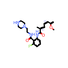 C=C(/C=C\C=C(/C)C(=O)Nc1cccc(F)c1C(=O)NCCN1CCNCC1)OC